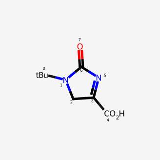 CC(C)(C)N1CC(C(=O)O)=NC1=O